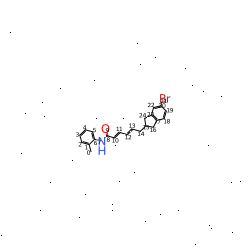 Cc1ccccc1NC(=O)/C=C/C=C/CC1Cc2ccc(Br)cc2C1